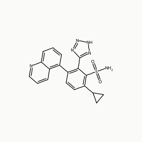 NS(=O)(=O)c1c(C2CC2)ccc(-c2cccc3ncccc23)c1-c1nn[nH]n1